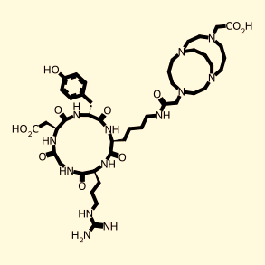 N=C(N)NCCC[C@@H]1NC(=O)[C@H](CCCCNC(=O)CN2CCCN3CCCN(CCCN(CC(=O)O)CC3)CC2)NC(=O)[C@@H](Cc2ccc(O)cc2)NC(=O)[C@H](CC(=O)O)NC(=O)CNC1=O